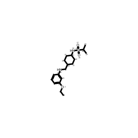 CCOc1cccc(NCC2CCC(NS(=O)(=O)C(C)C)CC2)c1